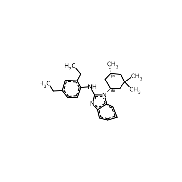 CCc1ccc(Nc2nc3ccccc3n2[C@@H]2C[C@H](C)CC(C)(C)C2)c(CC)c1